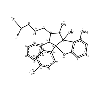 COc1cncc2c1C1(O)C(O)C(CNCC(F)F)C(c3ccccc3)C1(c1ccc(C(F)(F)F)cc1)O2